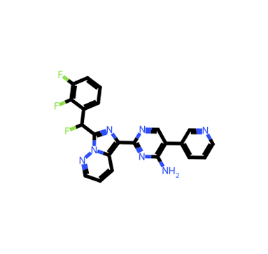 Nc1nc(-c2nc(C(F)c3cccc(F)c3F)n3ncccc23)ncc1-c1cccnc1